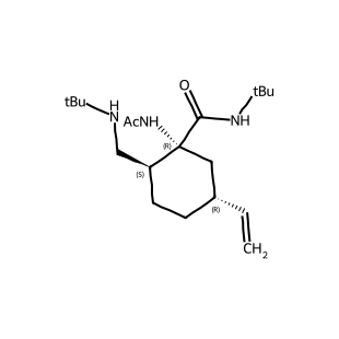 C=C[C@@H]1CC[C@@H](CNC(C)(C)C)[C@@](NC(C)=O)(C(=O)NC(C)(C)C)C1